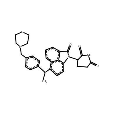 CN(c1ccc(CN2CCOCC2)cc1)c1ccc2c3c(cccc13)C(=O)N2C1CCC(=O)NC1=O